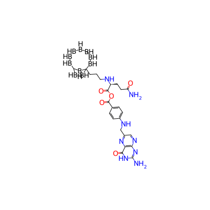 NC(=O)CC[C@H](NCCCC12BBBBBBBC(BB1)B2)C(=O)OC(=O)c1ccc(NCc2cnc3nc(N)[nH]c(=O)c3n2)cc1